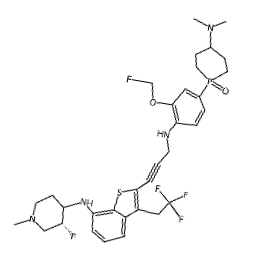 CN1CCC(Nc2cccc3c(CC(F)(F)F)c(C#CCNc4ccc(P5(=O)CCC(N(C)C)CC5)cc4OCF)sc23)[C@H](F)C1